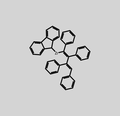 C(=C(C(=[C]([Zr][CH]1c2ccccc2-c2ccccc21)c1ccccc1)c1ccccc1)c1ccccc1)c1ccccc1